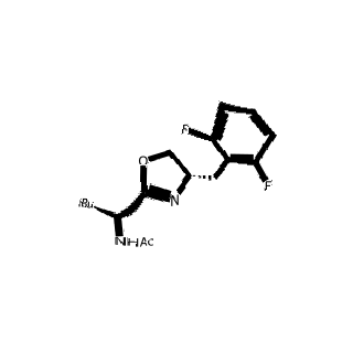 CC[C@H](C)C(NC(C)=O)C1=N[C@@H](Cc2c(F)cccc2F)CO1